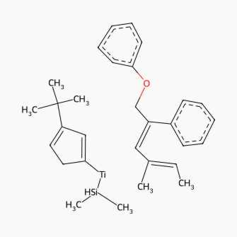 CC=C(C)C=C(COc1ccccc1)c1ccccc1.C[SiH](C)[Ti][C]1=CC(C(C)(C)C)=CC1